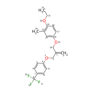 C=C(COc1ccc(C(F)(F)F)cc1)COc1ccc(OCC)c(C)c1